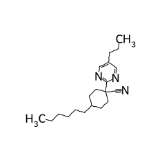 CCCCCCC1CCC(C#N)(c2ncc(CCC)cn2)CC1